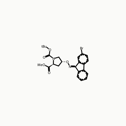 COC(=O)[C@@H]1C[C@@H](O/N=C2/c3ccccc3-c3ccc(Br)cc32)CN1C(=O)OC(C)(C)C